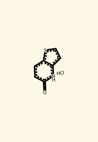 Cl.O=c1ccc2sccc2[nH]1